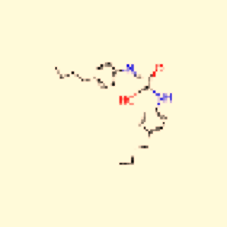 CCCCc1ccc(N=c2c(O)c(Nc3ccc(CCCC)cc3)c2=O)cc1